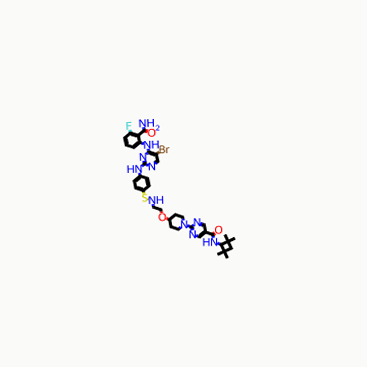 CC1(C)CC(C)(C)C1NC(=O)c1cnc(N2CCC(OCCNSc3ccc(Nc4ncc(Br)c(Nc5cccc(F)c5C(N)=O)n4)cc3)CC2)nc1